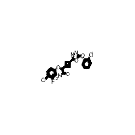 NC(=O)C(Oc1ccc(Cl)c(F)c1)C12CC(c3nnc(Oc4ccccc4Cl)o3)(C1)C2